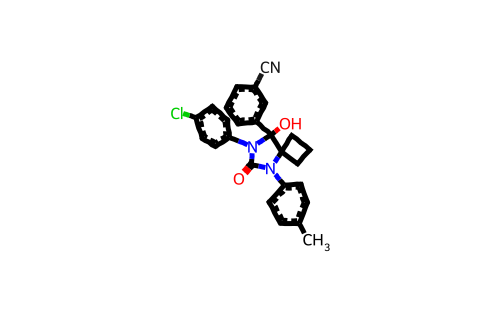 Cc1ccc(N2C(=O)N(c3ccc(Cl)cc3)C(O)(c3cccc(C#N)c3)C23CCC3)cc1